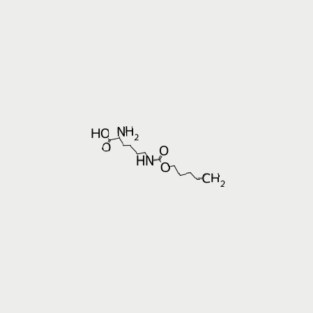 C=CCCCOC(=O)NCCCCC(N)C(=O)O